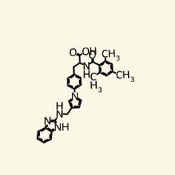 Cc1cc(C)c(C(=O)NC(Cc2ccc(-n3ccc(CNc4nc5ccccc5[nH]4)c3)cc2)C(=O)O)c(C)c1